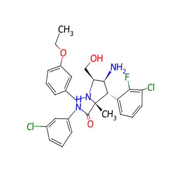 CCOc1cccc(CN2[C@@H](CO)[C@@H](N)[C@H](c3cccc(Cl)c3F)[C@]2(C)C(=O)Nc2cccc(Cl)c2)c1